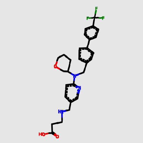 O=C(O)CCNCc1ccc(N(Cc2ccc(-c3ccc(C(F)(F)F)cc3)cc2)C2CCCOC2)nc1